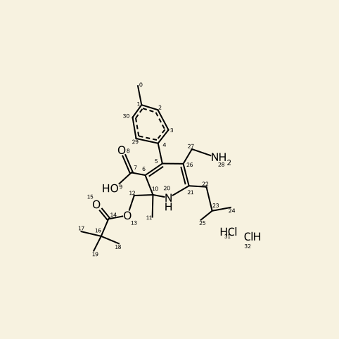 Cc1ccc(C2=C(C(=O)O)C(C)(COC(=O)C(C)(C)C)NC(CC(C)C)=C2CN)cc1.Cl.Cl